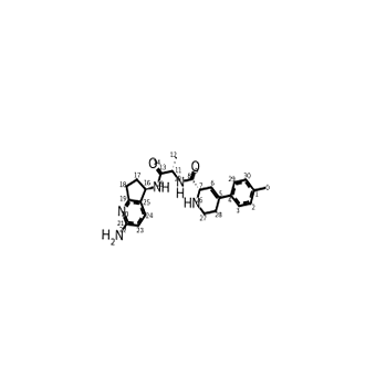 Cc1ccc(C2=C[C@@H](C(=O)N[C@@H](C)C(=O)N[C@@H]3CCc4nc(N)ccc43)NCC2)cc1